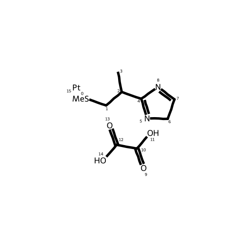 CSCC(C)C1=NCC=N1.O=C(O)C(=O)O.[Pt]